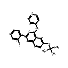 CC(C)(C)Nc1ccc2nc(-c3ccccc3F)nc(Nc3ccncc3)c2c1